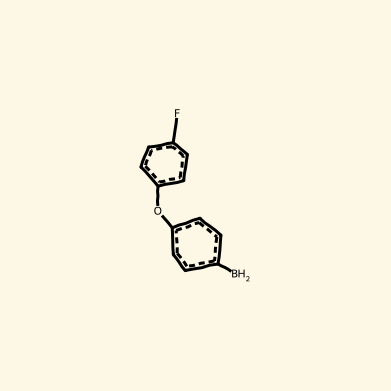 Bc1ccc(Oc2ccc(F)cc2)cc1